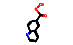 O=C(OO)c1ccc2ncccc2c1